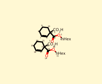 CCCCCCOC(=O)C1(C(=O)O)C=CCCC1.CCCCCCOC(=O)C1(C(=O)O)C=CCCC1